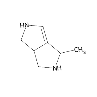 CC1NCC2CNC=C21